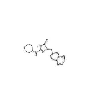 O=C1NC(NC2CCCCC2)=N/C1=C\c1ccc2nccnc2c1